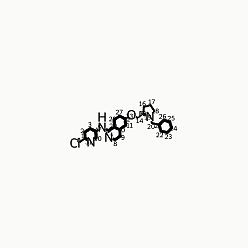 Clc1ccc(Nc2nccc3cc(OC[C@H]4CCCN4Cc4ccccc4)ccc23)cn1